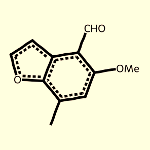 COc1cc(C)c2occc2c1C=O